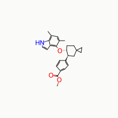 COC(=O)c1ccc([C@@H]2CC3(CC[C@H]2Oc2c(C)cc(C)c4[nH]ccc24)CC3)cc1